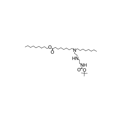 CCCCCCCCCOC(=O)CCCCCCCN(CCCCCCCC)CCNCCNC(=O)OC(C)(C)C